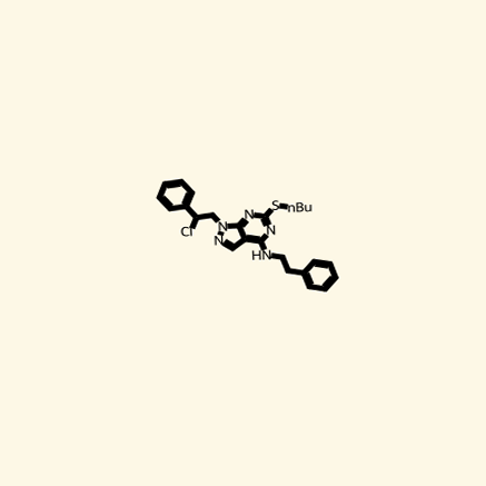 CCCCSc1nc(NCCc2ccccc2)c2cnn(CC(Cl)c3ccccc3)c2n1